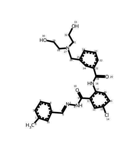 Cc1cccc(/C=N/NC(=O)c2cc(Cl)ccc2NC(=O)c2cccc(CN(CCO)CCO)c2)c1